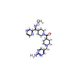 CON=C(c1cnccn1)C1CCN(C(=O)C2CCN(Cc3cnc(N)nc3)CC2)CC1